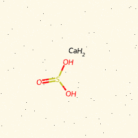 O=S(O)O.[CaH2]